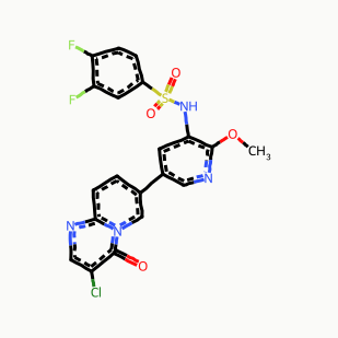 COc1ncc(-c2ccc3ncc(Cl)c(=O)n3c2)cc1NS(=O)(=O)c1ccc(F)c(F)c1